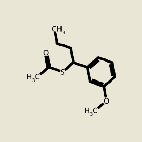 CCCC(SC(C)=O)c1cccc(OC)c1